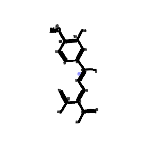 C=C(C)C(=C/C=C(\C)c1ccc(OC)c(C)c1)C(=C)C